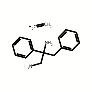 C=C.NCC(N)(Cc1ccccc1)c1ccccc1